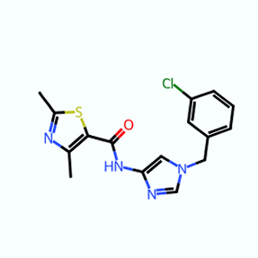 Cc1nc(C)c(C(=O)Nc2cn(Cc3cccc(Cl)c3)cn2)s1